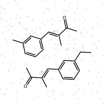 CC(=O)/C(C)=C/c1cccc(C)c1.CCc1cccc(/C=C(\C)C(C)=O)c1